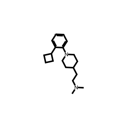 CN(C)CCC1CCN(c2cc[c]cc2C2CCC2)CC1